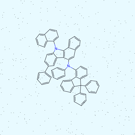 c1ccc(-c2ccc3c(c2)c2c(N(c4ccccc4)c4cccc5c4-c4ccccc4C5(c4ccccc4)c4ccccc4)cc4ccccc4c2n3-c2cccc3ccccc23)cc1